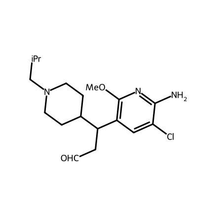 COc1nc(N)c(Cl)cc1C(CC=O)C1CCN(CC(C)C)CC1